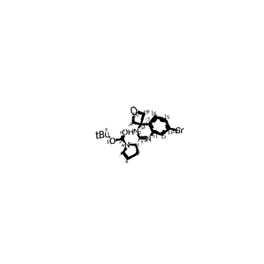 CC(C)(C)OC(=O)N1CCC[C@H]1C1=Nc2cc(Br)ccc2C2(COC2)N1